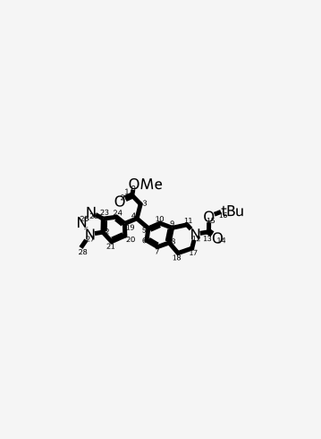 COC(=O)CC(c1ccc2c(c1)CN(C(=O)OC(C)(C)C)CC2)c1ccc2c(c1)nnn2C